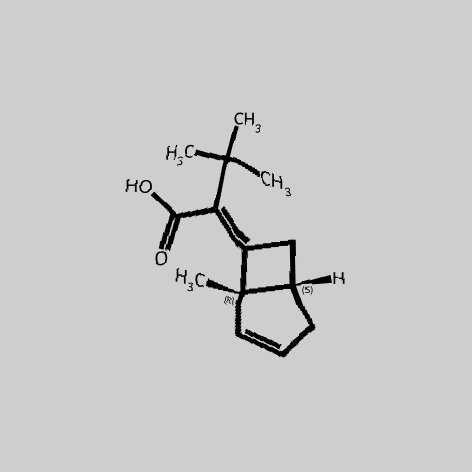 CC(C)(C)C(C(=O)O)=C1C[C@@H]2CC=C[C@]12C